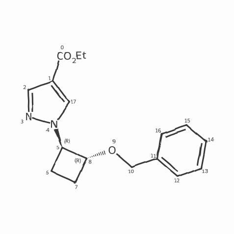 CCOC(=O)c1cnn([C@@H]2CC[C@H]2OCc2ccccc2)c1